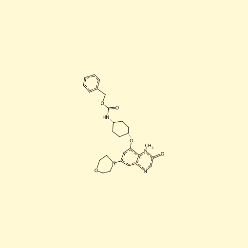 Cn1c(=O)cnc2cc(N3CCOCC3)cc(O[C@H]3CC[C@@H](NC(=O)OCc4ccccc4)CC3)c21